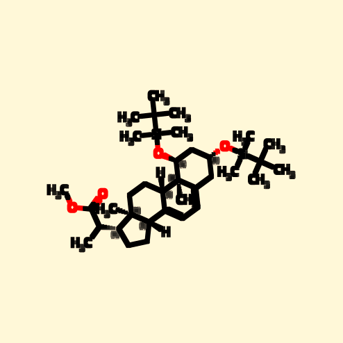 COC(=O)C(C)[C@H]1CC[C@H]2C3=CC=C4C[C@@H](O[Si](C)(C)C(C)(C)C)C[C@H](O[Si](C)(C)C(C)(C)C)[C@]4(C)[C@H]3CC[C@]12C